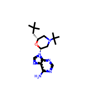 CC(C)(C)C[C@@H]1CN(C(C)(C)C)C[C@H](n2cnc3c(N)ncnc32)O1